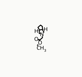 CCOC(=O)CN1C[C@H]2CCC[C@H]2C1